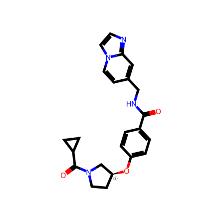 O=C(NCc1ccn2ccnc2c1)c1ccc(O[C@H]2CCN(C(=O)C3CC3)C2)cc1